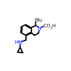 CC(C)(C)C1c2cccc(CNC3CC3)c2CCN1C(=O)O